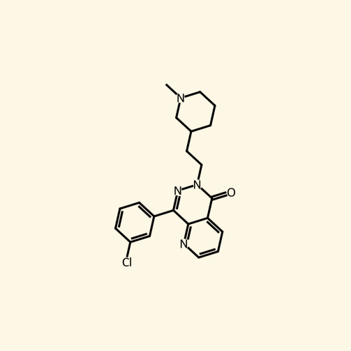 CN1CCCC(CCn2nc(-c3cccc(Cl)c3)c3ncccc3c2=O)C1